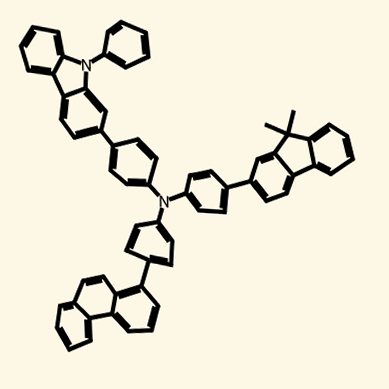 CC1(C)c2ccccc2-c2ccc(-c3ccc(N(c4ccc(-c5ccc6c7ccccc7n(-c7ccccc7)c6c5)cc4)c4ccc(-c5cccc6c5ccc5ccccc56)cc4)cc3)cc21